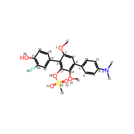 COc1cc(-c2ccc(N(C)C)cc2)c(OC)c(OS(C)(=O)=O)c1-c1ccc(O)c(F)c1